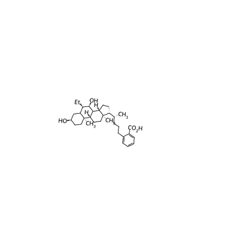 CC[C@@H]1C2C[C@H](O)CC[C@]2(C)[C@H]2CC[C@]3(C)[C@@H]([C@H](C)CCCc4ccccc4C(=O)O)CC[C@H]3C2[C@@H]1O